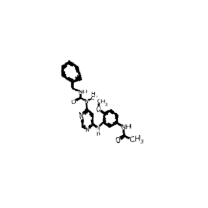 COc1ccc(NC(C)=O)cc1Nc1cc(N(C)C(=O)NCc2ccccc2)ncn1